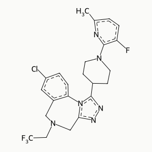 Cc1ccc(F)c(N2CCC(c3nnc4n3-c3ccc(Cl)cc3CN(CC(F)(F)F)C4)CC2)n1